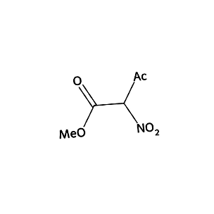 COC(=O)C(C(C)=O)[N+](=O)[O-]